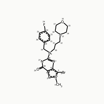 Cn1nc2c(c1Br)N=C(N(CCCN1CCOCC1)Cc1ccc(F)cc1)[N]C2=O